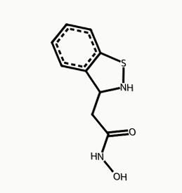 O=C(CC1NSc2ccccc21)NO